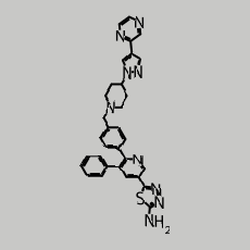 Nc1nnc(-c2cnc(-c3ccc(CN4CCC(n5cc(-c6cnccn6)cn5)CC4)cc3)c(-c3ccccc3)c2)s1